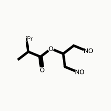 CC(C)C(C)C(=O)OC(CN=O)CN=O